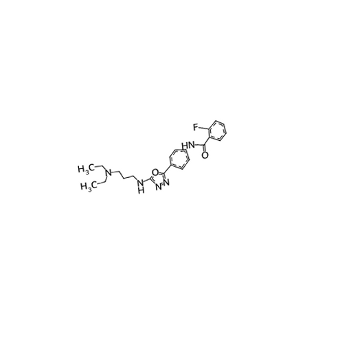 CCN(CC)CCCNc1nnc(-c2ccc(NC(=O)c3ccccc3F)cc2)o1